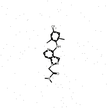 Cc1cc(C(F)(F)F)cc(C)c1Nc1nccc2c1cnn2CC(=O)N(C)C